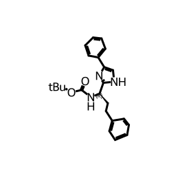 CC(C)(C)OC(=O)N[C@H](CCc1ccccc1)c1nc(-c2ccccc2)c[nH]1